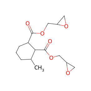 CC1CCCC(C(=O)OCC2CO2)C1C(=O)OCC1CO1